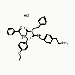 CCOc1ccc(C[C@@H](NC(=O)c2ccccc2)C(=O)N(CCc2ccccc2)C(=O)NCc2ccc(CCN)cc2)cc1.Cl